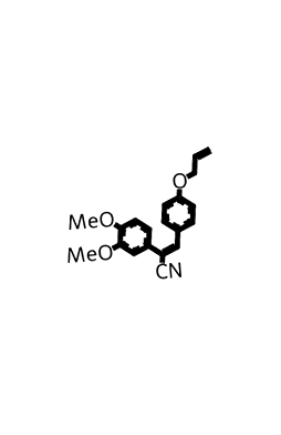 C=CCOc1ccc(/C=C(/C#N)c2ccc(OC)c(OC)c2)cc1